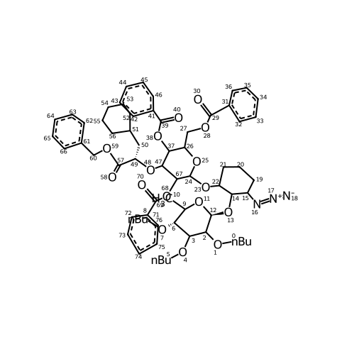 CCCCOC1C(OCCCC)[C@H](OCCCC)C(C)O[C@H]1OC1C(N=[N+]=[N-])CCCC1OC1OC(COC(=O)c2ccccc2)C(OC(=O)c2ccccc2)C(O[C@@H](CC2CCCCC2)C(=O)OCc2ccccc2)C1OC(=O)c1ccccc1